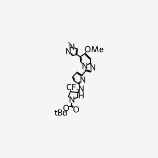 COc1cc2ncc(-c3cccc(NC4CN(C(=O)OC(C)(C)C)C[C@@H]4C(F)(F)F)n3)n2cc1-c1cnn(C)c1